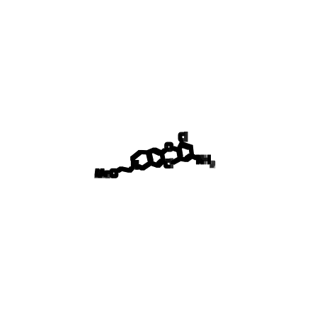 COCCN1CCc2cc(Oc3c(Cl)cc(N)cc3Cl)ccc2C1